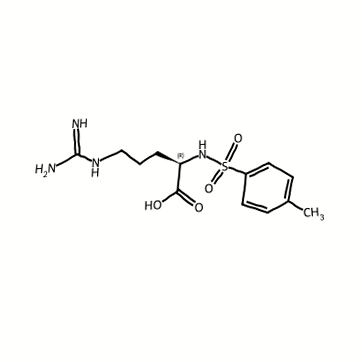 Cc1ccc(S(=O)(=O)N[C@H](CCCNC(=N)N)C(=O)O)cc1